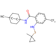 CC1(SNc2cc(C(F)(F)F)ccc2C(=O)NC23CCC(C#N)(CC2)CC3)CC1